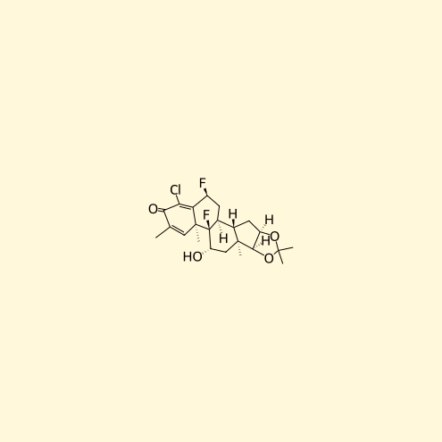 CC1=C[C@@]2(C)C(=C(Cl)C1=O)[C@@H](F)C[C@H]1[C@@H]3C[C@H]4OC(C)(C)O[C@H]4[C@@]3(C)C[C@H](O)[C@@]12F